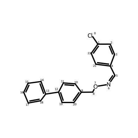 Clc1ccc(/[C]=N\OCc2ccc(-c3ccccc3)cc2)cc1